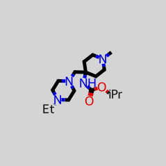 CCN1CCN(CC2(NC(=O)OC(C)C)CCN(C)CC2)CC1